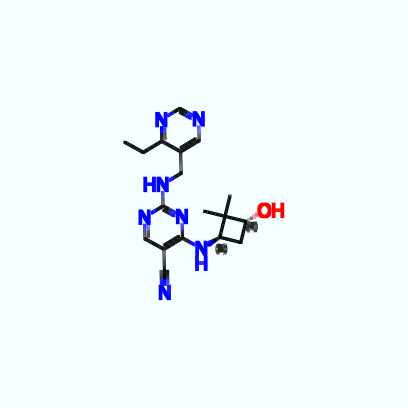 CCc1ncncc1CNc1ncc(C#N)c(N[C@@H]2C[C@@H](O)C2(C)C)n1